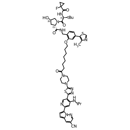 Cc1ncsc1-c1ccc(CNC(=O)[C@@H]2C[C@@H](O)CN2C(=O)[C@@H](NC(=O)C2(F)CC2)C(C)(C)C)c(OCCCCCCCC(=O)N2CCN(c3nnc(-c4cnc(-c5ccc6cc(C#N)cnn56)cc4NC(C)C)s3)CC2)c1